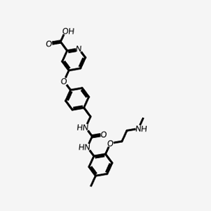 CNCCOc1ccc(C)cc1NC(=O)NCc1ccc(Oc2ccnc(C(=O)O)c2)cc1